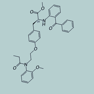 CCC(=O)N(CCOc1ccc(C[C@H](Nc2ccccc2C(=O)c2ccccc2)C(=O)OC)cc1)c1ccccc1OC